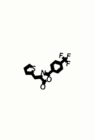 O=C1OC(c2ccc(C(F)(F)F)cc2)=NC1=Cc1cccs1